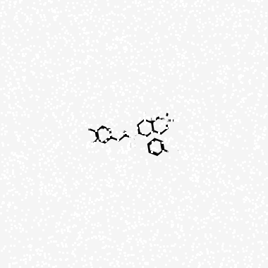 CC(=O)Oc1cccc([C@@]23CC[N+](C)(C)C[C@@]2(OC(C)=O)CC[C@H](NC(=O)Cc2ccc(Cl)c(Cl)c2)C3)c1